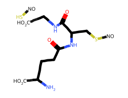 NC(CCC(=O)NC(CSN=O)C(=O)NCC(=O)O)C(=O)O.O=NS